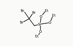 CCO[Si](CC(Br)(Br)Br)(OCC)OCC